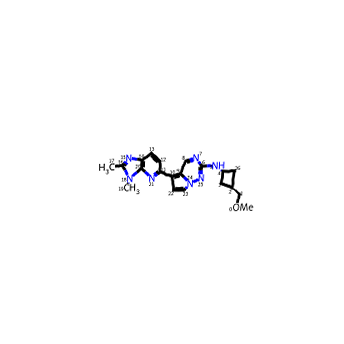 COC[C@H]1C[C@H](Nc2ncc3c(-c4ccc5nc(C)n(C)c5n4)ccn3n2)C1